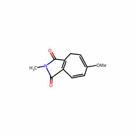 COC1=CCC2=C(C=C1)C(=O)N(C)C2=O